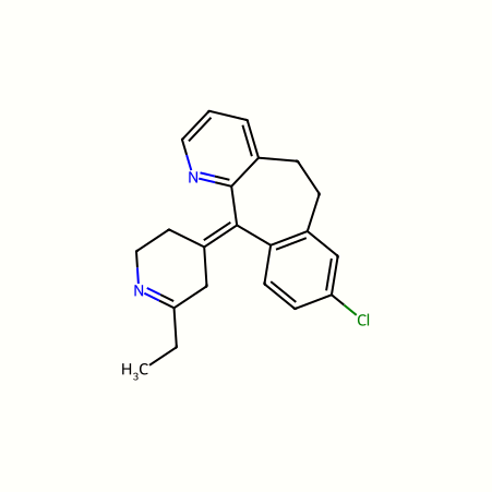 CCC1=NCCC(=C2c3ccc(Cl)cc3CCc3cccnc32)C1